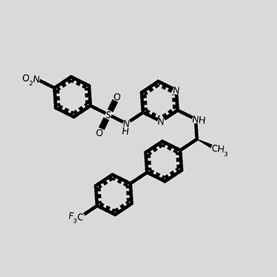 C[C@H](Nc1nccc(NS(=O)(=O)c2ccc([N+](=O)[O-])cc2)n1)c1ccc(-c2ccc(C(F)(F)F)cc2)cc1